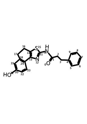 O=C(CCc1ccccc1)Nc1nc2c(s1)CCc1cc(O)ccc1-2